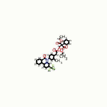 CCOC(=O)C(COC(=O)Cc1ccc(NC(=O)c2ccccc2-c2ccc(C(F)(F)F)cc2)cc1C)(C(=O)OCC)c1ccccc1